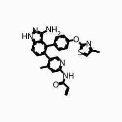 C=CC(=O)Nc1cc(C)c(-c2ccc3[nH]nc(N)c3c2-c2ccc(Oc3nc(C)cs3)cc2)cn1